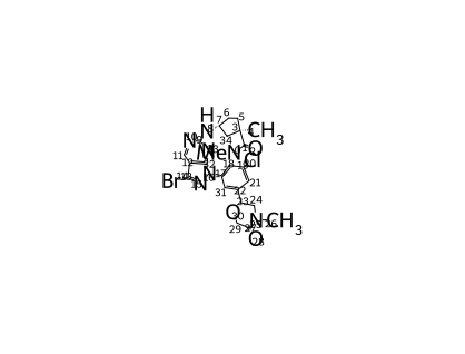 CNC(=O)[C@]1(C)CC[C@@H](Nc2ncc3c(Br)nn(-c4cc(Cl)cc(C5CN(C)C(=O)CO5)c4)c3n2)C1